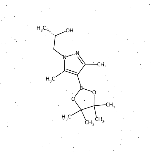 Cc1nn(C[C@H](C)O)c(C)c1B1OC(C)(C)C(C)(C)O1